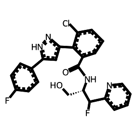 O=C(N[C@@H](CO)C(F)c1ccccn1)c1cccc(Cl)c1-c1cc(-c2ccc(F)cc2)[nH]n1